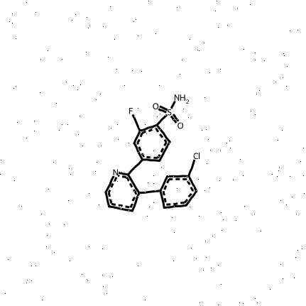 NS(=O)(=O)c1ccc(-c2ncccc2-c2cccc(Cl)c2)cc1F